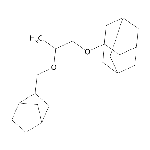 CC(COC12CC3CC(CC(C3)C1)C2)OCC1CC2CCC1C2